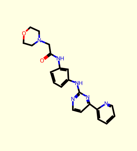 O=C(CN1CCOCC1)Nc1cccc(Nc2nccc(-c3ccccn3)n2)c1